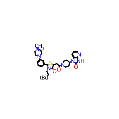 CN1CCN(c2cccc(C3SC(CC(=O)N4CCC(n5c(=O)[nH]c6ncccc65)CC4)C(=O)N3CCC(C)(C)C)c2)CC1